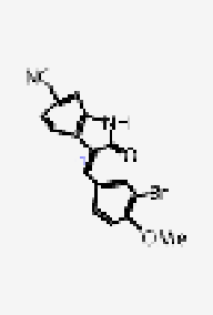 COc1ccc(/C=C2\C(=O)Nc3cc(C#N)ccc32)cc1Br